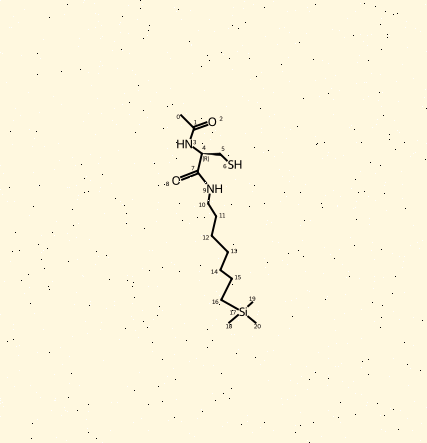 CC(=O)N[C@@H](CS)C(=O)NCCCCCCC[Si](C)(C)C